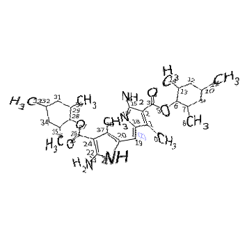 CC1=C(C(=O)OC2C(C)CC(C)CC2C)C(N)=N/C1=C\c1[nH]c(N)c(C(=O)OC2C(C)CC(C)CC2C)c1C